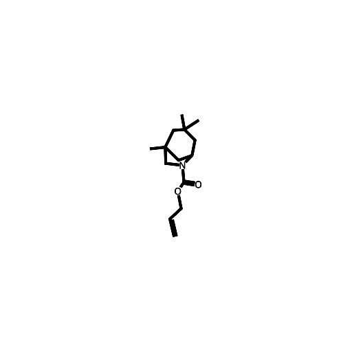 C=CCOC(=O)N1CC2(C)CC1CC(C)(C)C2